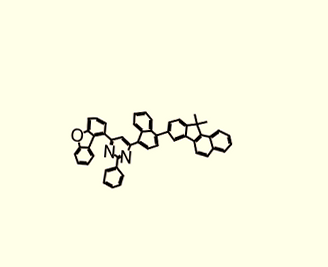 CC1(C)c2ccc(-c3ccc(-c4cc(-c5cccc6oc7ccccc7c56)nc(-c5ccccc5)n4)c4ccccc34)cc2-c2ccc3ccccc3c21